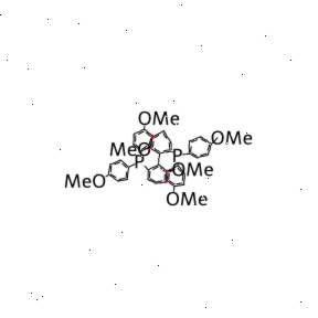 COc1ccc(P(c2ccc(OC)cc2)c2cccc(OC)c2-c2c(OC)cccc2P(c2ccc(OC)cc2)c2ccc(OC)cc2)cc1